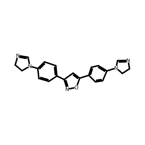 C1=NCCN1c1ccc(-c2cc(-c3ccc(N4C=NCC4)cc3)on2)cc1